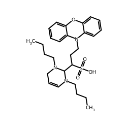 CCCCN1C=CCN(CCCC)C1C(CCN1c2ccccc2Oc2ccccc21)S(=O)(=O)O